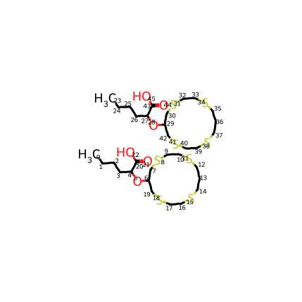 CCCCC(OC1CSCCSCCCSCCSC1)C(=O)O.CCCCC(OC1CSCCSCCCSCCSC1)C(=O)O